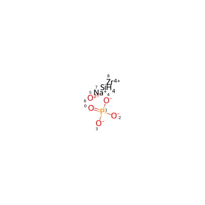 O=P([O-])([O-])[O-].[Na+].[O-2].[SiH4].[Zr+4]